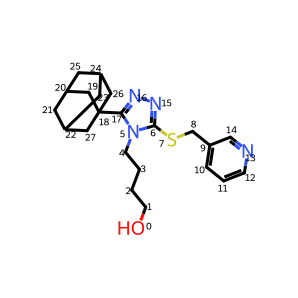 OCCCCn1c(SCc2cccnc2)nnc1C12CC3CC(CC(C3)C1)C2